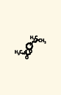 CCN1C[C@@]2(CCCN(CCC(C)C)CC2)OCC1=O